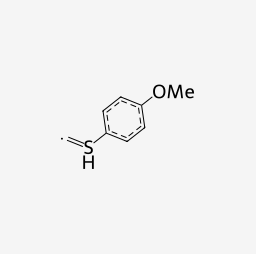 [CH]=[SH]c1ccc(OC)cc1